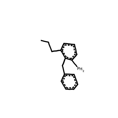 CCCc1cccc(P)c1Cc1ccccc1